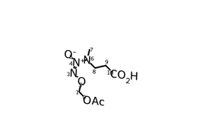 CC(=O)OCO/N=[N+](/[O-])N(C)CCC(=O)O